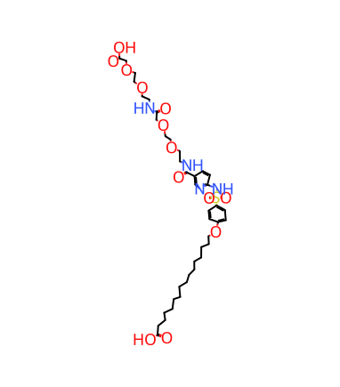 O=C(O)CCCCCCCCCCCCCCCOc1ccc(S(=O)(=O)Nc2ccc(C(=O)NCCOCCOCC(=O)NCCOCCOCC(=O)O)cn2)cc1